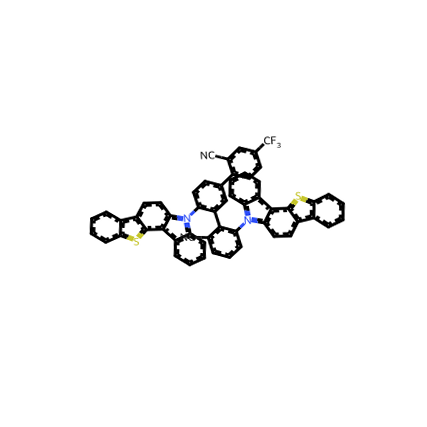 N#Cc1cc(C(F)(F)F)ccc1-c1ccc(-n2c3ccccc3c3c4sc5ccccc5c4ccc32)c(-c2c(C#N)cccc2-n2c3ccccc3c3c4sc5ccccc5c4ccc32)c1